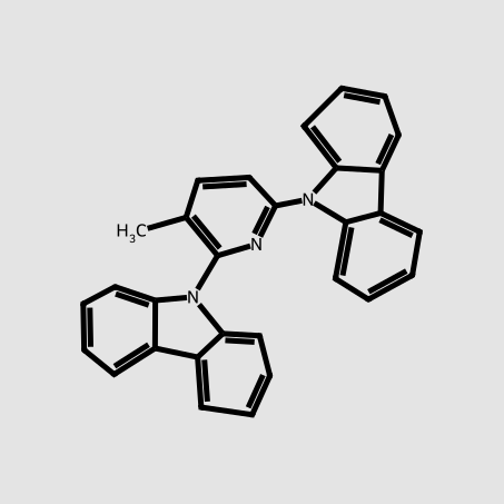 Cc1ccc(-n2c3ccccc3c3ccccc32)nc1-n1c2ccccc2c2ccccc21